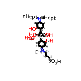 CCCCCCCN(CCCCCCC)c1ccc(-c2c(O)[c+](-c3ccc(N(CC)CCCS(=O)(=O)O)cc3O)[c+]2O)c(O)c1.[OH-].[OH-]